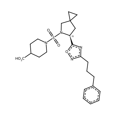 O=C(O)C1CCN(S(=O)(=O)N2CC3(CC3)C[C@H]2c2nc(CCCc3ccccc3)no2)CC1